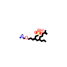 C=C(C)CCCC(CCC)C/C(=C/CCOCN(C)C)CCS(=O)(=O)O